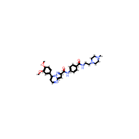 COc1ccc(-c2ccnc3cc(C(=O)Nc4ccc(C(=O)NCCN5CCN(C)CC5)cc4)nn23)cc1OC